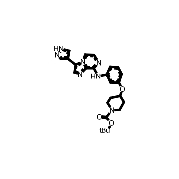 CC(C)(C)OC(=O)N1CCC(Oc2cccc(Nc3nccn4c(-c5cn[nH]c5)cnc34)c2)CC1